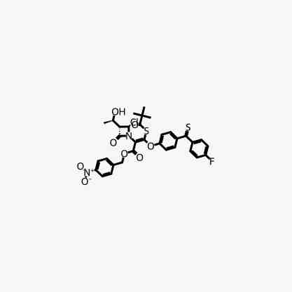 C[C@@H](O)[C@H]1C(=O)N(C(C(=O)OCc2ccc([N+](=O)[O-])cc2)=C(Oc2ccc(C(=S)c3ccc(F)cc3)cc2)SC(=O)C(C)(C)C)[C@H]1Cl